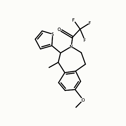 COc1ccc2c(c1)CCN(C(=O)C(F)(F)F)C(c1cccs1)C2C